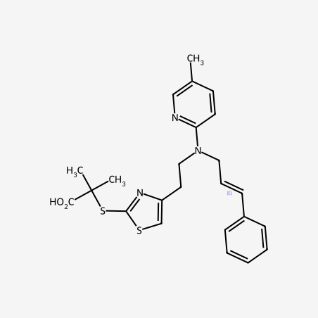 Cc1ccc(N(C/C=C/c2ccccc2)CCc2csc(SC(C)(C)C(=O)O)n2)nc1